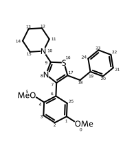 COc1ccc(OC)c(-c2nc(N3CCCCC3)sc2Cc2ccccc2)c1